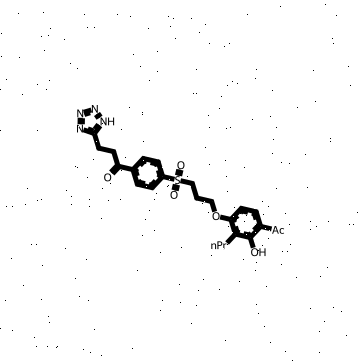 CCCc1c(OCCCS(=O)(=O)c2ccc(C(=O)CCc3nnn[nH]3)cc2)ccc(C(C)=O)c1O